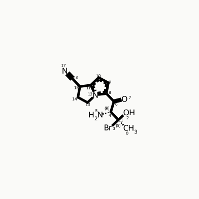 C[C@](O)(Br)[C@H](N)C(=O)c1ccc2n1CCC2C#N